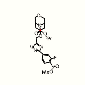 COS(=O)c1ccc(-c2noc(COC3CC4COCC(C3)N4C(=O)OC(C)C)n2)cc1F